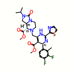 COC(=O)C1=C(CN2CCN3C(=O)N(C(C)C)C[C@@H]3[C@H]2C(=O)OC)NC(c2nccs2)=N[C@H]1c1ccc(F)c(F)c1C